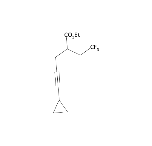 CCOC(=O)C(CC#CC1CC1)CC(F)(F)F